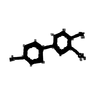 Cc1cc(-c2ccc(C#N)cc2)ncc1Br